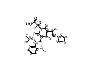 COc1ccccc1[C@H](Cn1c(=O)n(C(C)(C)C(=O)O)c(=O)c2c(C)c(-n3cccn3)sc21)OC(C)C